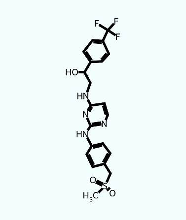 CS(=O)(=O)Cc1ccc(Nc2nccc(NCC(O)c3ccc(C(F)(F)F)cc3)n2)cc1